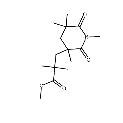 COC(=O)C(C)(C)CC1(C)CC(C)(C)C(=O)N(C)C1=O